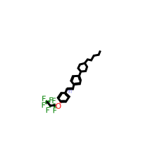 CCCCCC1CCC(c2ccc(/C=C/c3ccc(OC(F)(F)C(F)C(F)(F)F)cc3)cc2)CC1